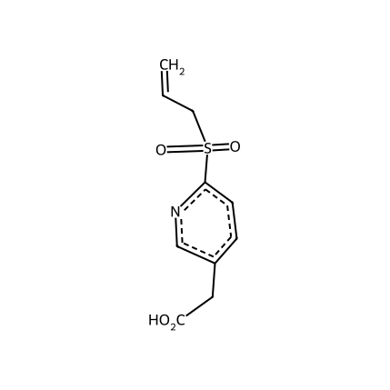 C=CCS(=O)(=O)c1ccc(CC(=O)O)cn1